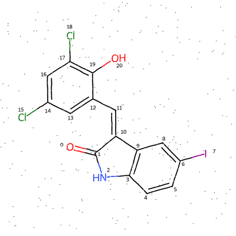 O=C1Nc2ccc(I)cc2C1=Cc1cc(Cl)cc(Cl)c1O